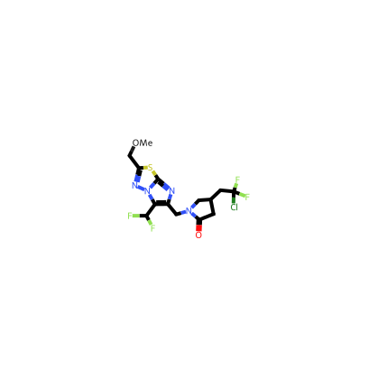 COCc1nn2c(C(F)F)c(CN3CC(CC(F)(F)Cl)CC3=O)nc2s1